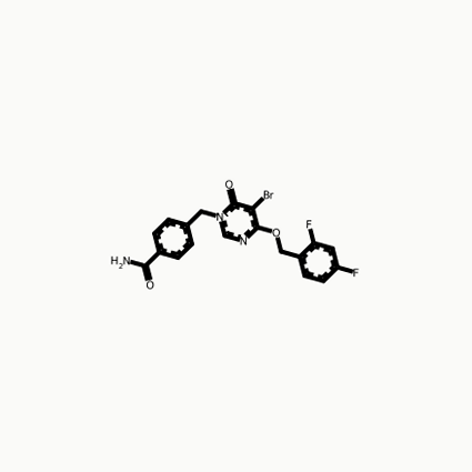 NC(=O)c1ccc(Cn2cnc(OCc3ccc(F)cc3F)c(Br)c2=O)cc1